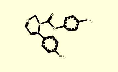 O=C(Oc1ccc([N+](=O)[O-])cc1)N1CN=CC=C1c1ccc([N+](=O)[O-])cc1